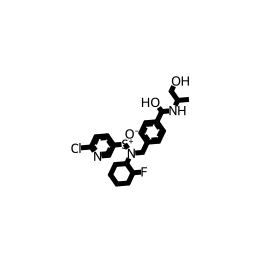 CC(CO)NC(O)c1ccc(CN(C2CCCCC2F)[S+]([O-])c2ccc(Cl)nc2)cc1